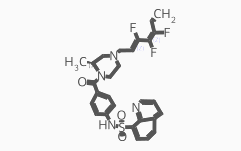 C=C/C(F)=C(F)\C(F)=C\CN1CCN(C(=O)c2ccc(NS(=O)(=O)c3cccc4cccnc34)cc2)[C@@H](C)C1